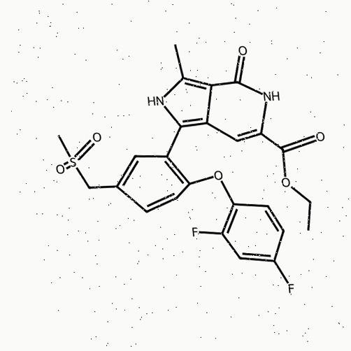 CCOC(=O)c1cc2c(-c3cc(CS(C)(=O)=O)ccc3Oc3ccc(F)cc3F)[nH]c(C)c2c(=O)[nH]1